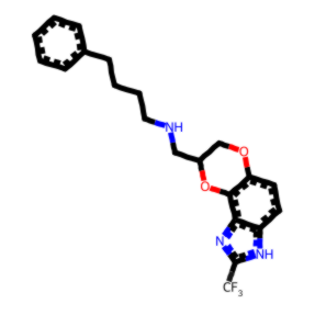 FC(F)(F)c1nc2c3c(ccc2[nH]1)OCC(CNCCCCc1ccccc1)O3